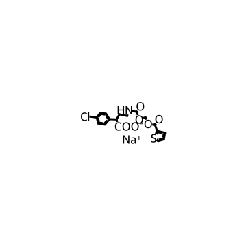 O=C(NCCC(C(=O)[O-])c1ccc(Cl)cc1)OCOC(=O)c1cccs1.[Na+]